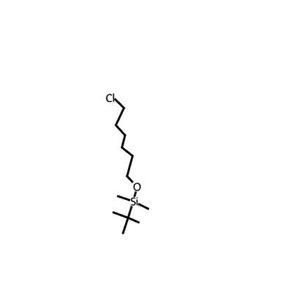 CC(C)(C)[Si](C)(C)OCCCCCCCl